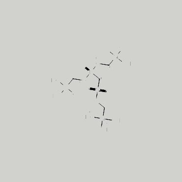 C[Si](C)(C)COP(=O)(CS(=O)(=O)OC[Si](C)(C)C)OC[Si](C)(C)C